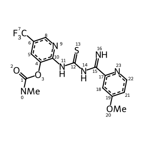 CNC(=O)Oc1cc(C(F)(F)F)cnc1NC(=S)NC(=N)c1cc(OC)ccn1